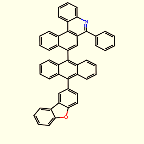 c1ccc(-c2nc3ccccc3c3c2cc(-c2c4ccccc4c(-c4ccc5oc6ccccc6c5c4)c4ccccc24)c2ccccc23)cc1